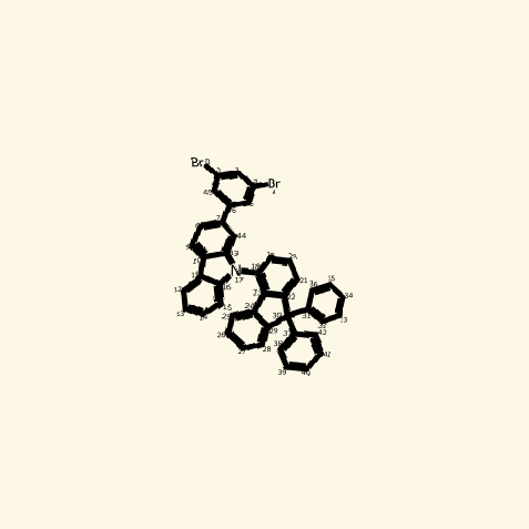 Brc1cc(Br)cc(-c2ccc3c4ccccc4n(-c4cccc5c4-c4ccccc4C5(c4ccccc4)c4ccccc4)c3c2)c1